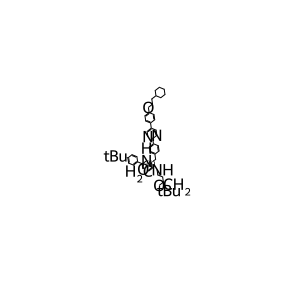 C=C(CCNC(=C)[C@H](Cc1ccc(-c2ncc(-c3ccc(OCCC4CCCCC4)cc3)cn2)cc1)NC(=O)c1ccc(C(C)(C)C)cc1)OC(C)(C)C